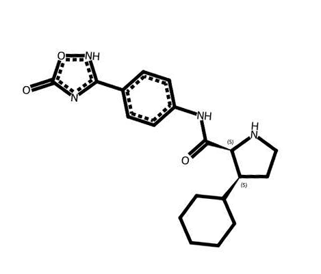 O=C(Nc1ccc(-c2nc(=O)o[nH]2)cc1)[C@H]1NCC[C@H]1C1CCCCC1